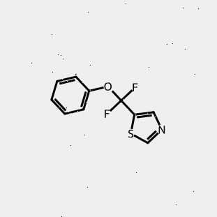 FC(F)(Oc1[c]cccc1)c1cncs1